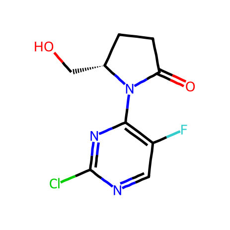 O=C1CC[C@@H](CO)N1c1nc(Cl)ncc1F